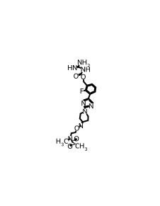 CN(CCON=C1CCN(c2ncc(-c3cccc(COC(=O)NC(=N)N)c3F)cn2)CC1)S(C)(=O)=O